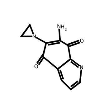 NC1=C(N2CC2)C(=O)c2cccnc2C1=O